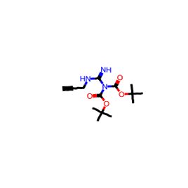 C#CCNC(=N)N(C(=O)OC(C)(C)C)C(=O)OC(C)(C)C